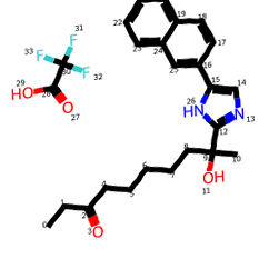 CCC(=O)CCCCCC(C)(O)c1ncc(-c2ccc3ccccc3c2)[nH]1.O=C(O)C(F)(F)F